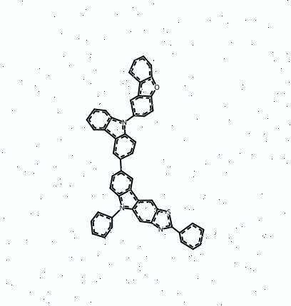 c1ccc(-c2nc3cc4c(cc3s2)c2cc(-c3ccc5c(c3)c3ccccc3n5-c3ccc5oc6ccccc6c5c3)ccc2n4-c2ccccc2)cc1